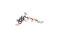 C[C@H](CCC(=O)OCCC(=O)OCC(F)C(F)(F)S(=O)(=O)O)[C@H]1CC[C@H]2[C@@H]3CC[C@@H]4C[C@H](O)CC[C@]4(C)[C@H]3CC[C@]12C